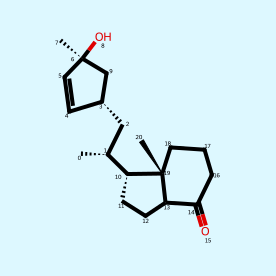 C[C@H](C[C@@H]1C=C[C@@](C)(O)C1)[C@H]1CCC2C(=O)CCC[C@]21C